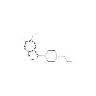 Cc1cc2c(C3CCN(CCCl)CC3)noc2cc1F